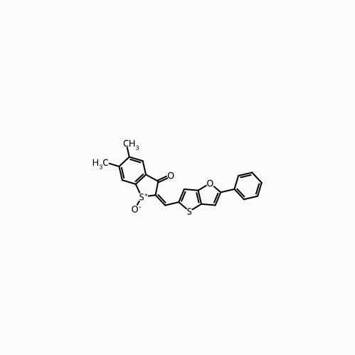 Cc1cc2c(cc1C)[S+]([O-])/C(=C/c1cc3oc(-c4ccccc4)cc3s1)C2=O